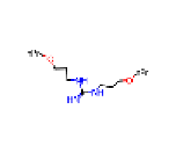 CCCOCCCNC(=N)NCCCOCCC